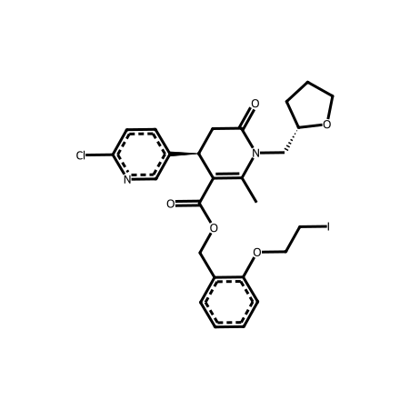 CC1=C(C(=O)OCc2ccccc2OCCI)[C@@H](c2ccc(Cl)nc2)CC(=O)N1C[C@@H]1CCCO1